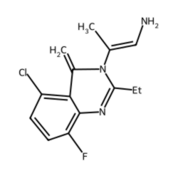 C=C1c2c(Cl)ccc(F)c2N=C(CC)N1/C(C)=C/N